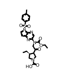 CCOC(=O)N(CC(=O)C1CN(C(=O)O)C[C@H]1CC)c1cnc2c(ccn2S(=O)(=O)c2ccc(C)cc2)n1